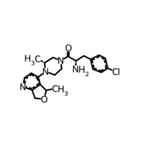 CC1OCc2nccc(N3CCN(C(=O)[C@H](N)Cc4ccc(Cl)cc4)C[C@@H]3C)c21